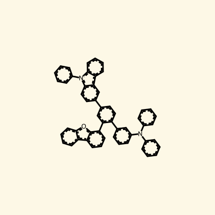 c1ccc(N(c2ccccc2)c2cccc(-c3ccc(-c4ccc5c(c4)c4ccccc4n5-c4ccccc4)cc3-c3cccc4c3oc3ccccc34)c2)cc1